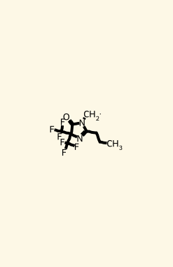 [CH2]N1C(=O)C(C(F)(F)F)(C(F)(F)F)N=C1CCC